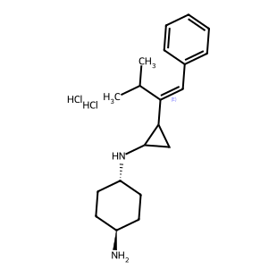 CC(C)/C(=C\c1ccccc1)C1CC1N[C@H]1CC[C@H](N)CC1.Cl.Cl